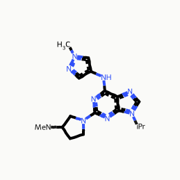 CNC1CCN(c2nc(Nc3cnn(C)c3)c3ncn(C(C)C)c3n2)C1